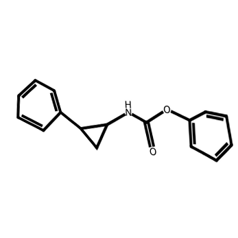 O=C(NC1CC1c1ccccc1)Oc1ccccc1